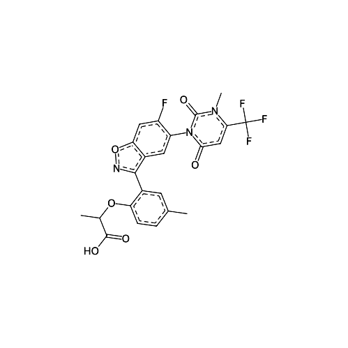 Cc1ccc(OC(C)C(=O)O)c(-c2noc3cc(F)c(-n4c(=O)cc(C(F)(F)F)n(C)c4=O)cc23)c1